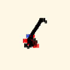 CCCCCCCCCCCCCCCCCCCC(=O)N[C@H]1CCC2(C)C(C1)C[C@@H](O)C1C2C[C@H](O)C2(C)C1CCC2[C@H](C)CCC(=O)O